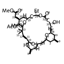 C=C1C[C@@H]2C[C@@H]3CC(=C)C[C@H](/C=C/C(C)(C)[C@]4(OC)O[C@@H](C/C(=C\C(=O)OC)[C@@H]4OC(C)=O)C[C@H](CC)OC(=O)C[C@H](O)C[C@H](C1)O2)O3